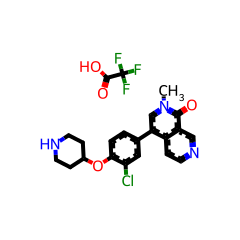 Cn1cc(-c2ccc(OC3CCNCC3)c(Cl)c2)c2ccncc2c1=O.O=C(O)C(F)(F)F